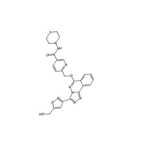 O=C(NN1CCSCC1)c1ccc(COc2nn3c(-c4cc(CO)on4)nnc3c3ccccc23)nc1